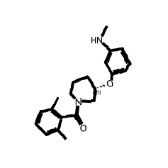 CNc1cccc(O[C@H]2CCCN(C(=O)c3c(C)cccc3C)C2)c1